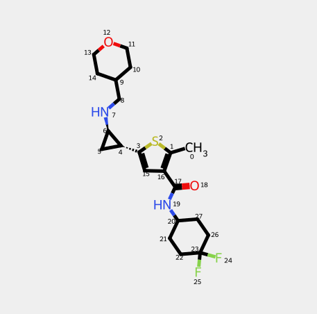 Cc1sc([C@@H]2C[C@H]2NCC2CCOCC2)cc1C(=O)NC1CCC(F)(F)CC1